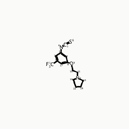 FC(F)(F)c1cc(N=C=S)cc(OCCN2CCCC2)c1